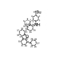 CC(C)(C)c1ccc2c(c1)C13CCC(CC1)c1c(-c4cccc5c4oc4c(-c6ccccc6)cccc45)ccc(c13)N2